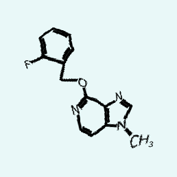 Cn1cnc2c(OCc3ccccc3F)nccc21